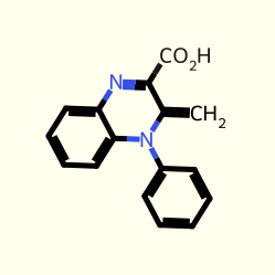 C=C1C(C(=O)O)=Nc2ccccc2N1c1ccccc1